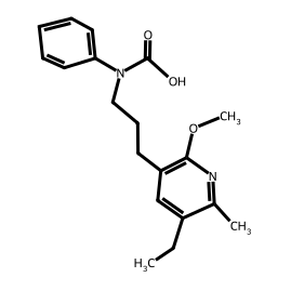 CCc1cc(CCCN(C(=O)O)c2ccccc2)c(OC)nc1C